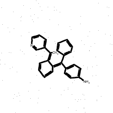 C/C(c1cccnc1)=c1/cccc/c1=C(/c1ccccc1)c1ccc(N)cc1